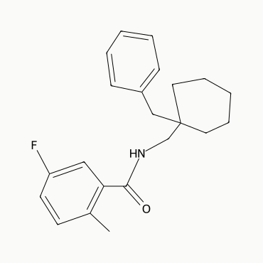 Cc1ccc(F)cc1C(=O)NCC1(Cc2ccccc2)CCCCC1